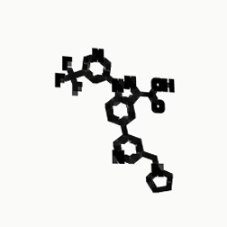 O=C(O)c1nn(-c2cncc(C(F)(F)F)c2)c2ccc(-c3cncc(CN4CCCC4)c3)cc12